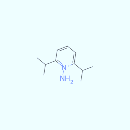 CC(C)c1cccc(C(C)C)[n+]1N